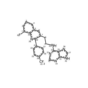 Fc1cccc2cc(CCNc3ncnc4[nH]cnc34)c(-c3ccc(C(F)(F)F)cc3)nc12